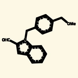 COCc1ccc(Cn2c(C=O)cc3ccccc32)cc1